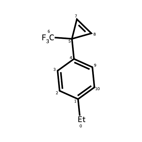 CCc1ccc(C2(C(F)(F)F)C=C2)cc1